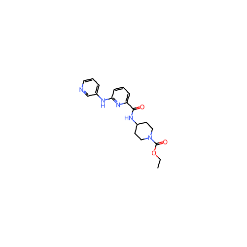 CCOC(=O)N1CCC(NC(=O)c2cccc(Nc3cccnc3)n2)CC1